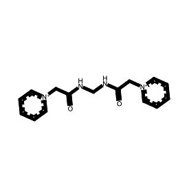 O=C(C[n+]1ccccc1)NCNC(=O)C[n+]1ccccc1